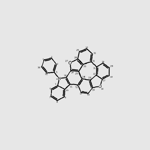 c1ccc(-n2c3ccccc3c3c4ccc5oc6cccc7c6c5c4c4c(oc5cccc-7c54)c32)cc1